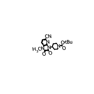 Cn1c(=O)c(=O)n(C2CCN(C(=O)OC(C)(C)C)CC2)c2nc(C#N)ccc21